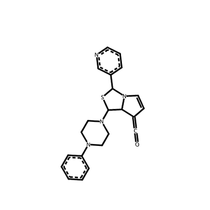 O=C=C1C=CN2C(c3cccnc3)SC(N3CCN(c4ccccc4)CC3)C12